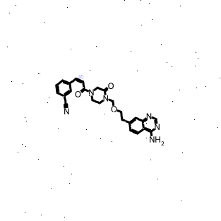 N#Cc1cccc(/C=C\C(=O)N2CCN(COCCc3ccc4c(N)ncnc4c3)C(=O)C2)c1